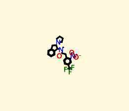 CN(C(=O)Cc1ccc(C(F)(F)F)cc1[N+](=O)[O-])C1c2ccccc2CC1N1CCCC1